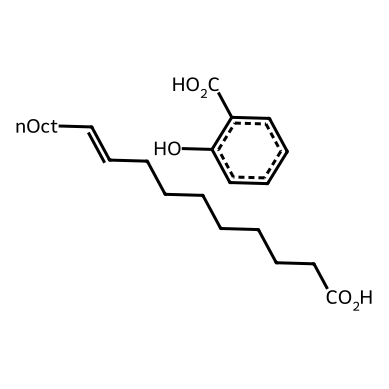 CCCCCCCCC=CCCCCCCCC(=O)O.O=C(O)c1ccccc1O